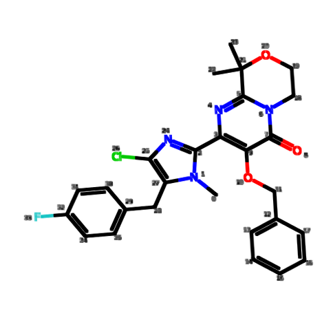 Cn1c(-c2nc3n(c(=O)c2OCc2ccccc2)CCOC3(C)C)nc(Cl)c1Cc1ccc(F)cc1